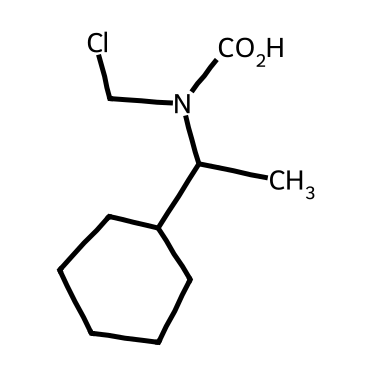 CC(C1CCCCC1)N(CCl)C(=O)O